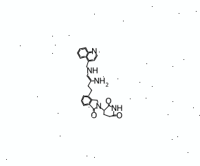 N/C(=C\NCc1ccnc2ccccc12)CCc1cccc2c1CN(C1CCC(=O)NC1=O)C2=O